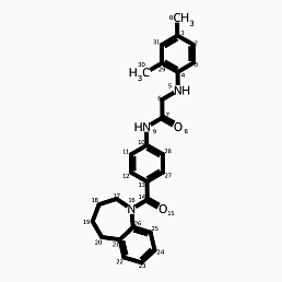 Cc1ccc(NCC(=O)Nc2ccc(C(=O)N3CCCCc4ccccc43)cc2)c(C)c1